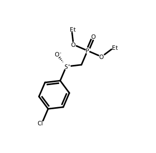 CCOP(=O)(C[S@@+]([O-])c1ccc(Cl)cc1)OCC